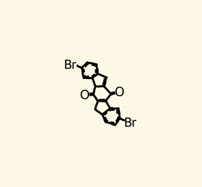 O=C1C2=Cc3ccc(Br)cc3C2C(=O)C2=C1c1cc(Br)ccc1C2